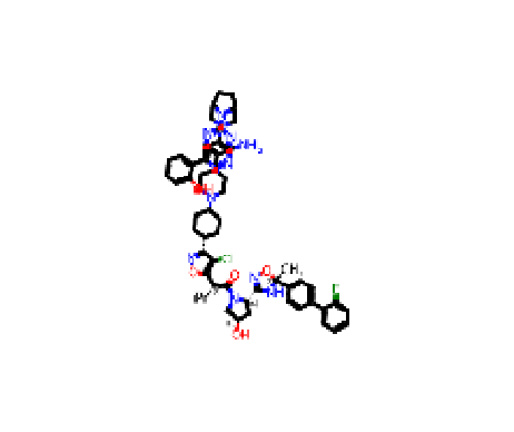 CC(C)[C@@H](C(=O)N1C[C@H](O)C[C@H]1C1=NO[C@](C)(c2ccc(-c3ccccc3F)cc2)N1)c1onc([C@H]2CC[C@H](N3CCC(c4cnc(N5C6CCC5CN(c5cc(-c7ccccc7O)nnc5N)C6)nc4)CC3)CC2)c1Cl